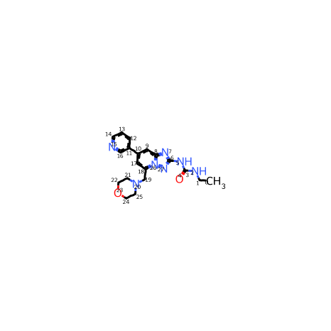 CCNC(=O)Nc1nc2cc(-c3cccnc3)cc(CN3CCOCC3)n2n1